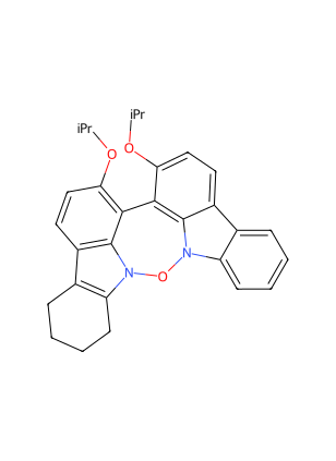 CC(C)Oc1ccc2c3c(n4on5c6ccccc6c6ccc(OC(C)C)c(c1c24)c65)CCCC3